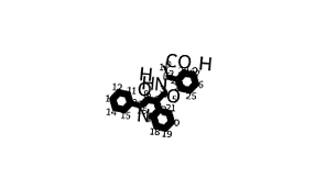 O=C(O)C[C@H](NC(=O)c1c(O)c(-c2ccccc2)nc2ccccc12)c1ccccc1